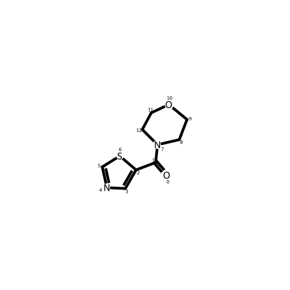 O=C(c1cn[c]s1)N1CCOCC1